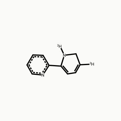 [2H]C1=CC=C(c2ccccn2)N([2H])C1